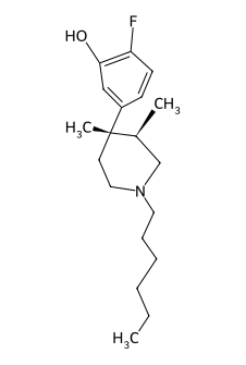 CCCCCCN1CC[C@](C)(c2ccc(F)c(O)c2)[C@@H](C)C1